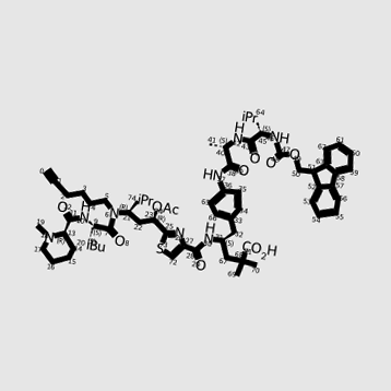 C#CCCCCN(C(=O)[C@@H](NC(=O)[C@H]1CCCCN1C)[C@@H](C)CC)[C@H](C[C@@H](OC(C)=O)c1nc(C(=O)N[C@@H](Cc2ccc(NC(=O)[C@H](C)NC(=O)[C@@H](NC(=O)OCC3c4ccccc4-c4ccccc43)C(C)C)cc2)CC(C)(C)C(=O)O)cs1)C(C)C